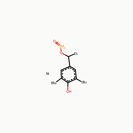 CCC(O[PH2]=O)c1cc(C(C)(C)C)c(O)c(C(C)(C)C)c1.[Ni]